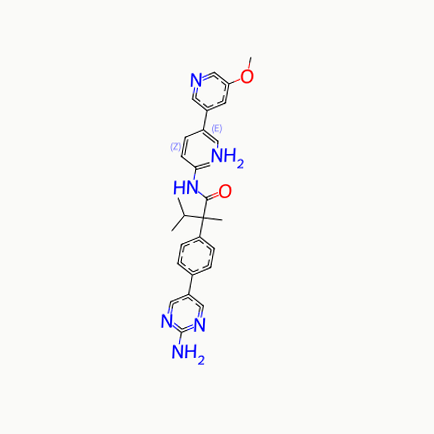 C=C(/C=C\C(=C/N)c1cncc(OC)c1)NC(=O)C(C)(c1ccc(-c2cnc(N)nc2)cc1)C(C)C